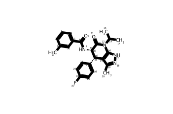 Cc1cccc(C(=O)N[C@@H]2C(=O)N(C(C)C)c3[nH]nc(C)c3[C@@H]2c2ccc(F)cc2)c1